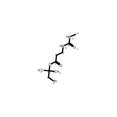 CC(C)CC(C)(C)OC(=O)CCNC(=O)NI